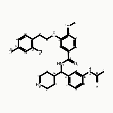 COc1ccc(C(=O)NC(c2cccc(NC(C)=O)c2)C2CCNCC2)cc1OCCc1ccc(Cl)cc1Cl